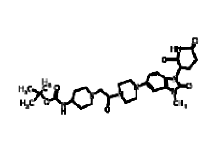 Cn1c(=O)n(C2CCC(=O)NC2=O)c2ccc(N3CCN(C(=O)CN4CCC(NC(=O)OC(C)(C)C)CC4)CC3)cc21